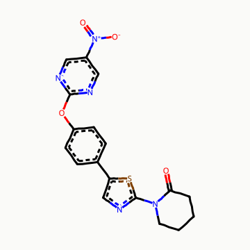 O=C1CCCCN1c1ncc(-c2ccc(Oc3ncc([N+](=O)[O-])cn3)cc2)s1